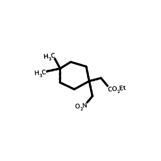 CCOC(=O)CC1(C[N+](=O)[O-])CCC(C)(C)CC1